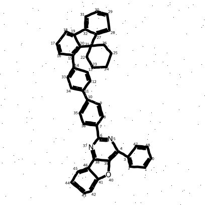 c1ccc(-c2nc(-c3ccc(-c4ccc(-c5cccc6c5C5(CCCCC5)c5ccccc5-6)cc4)cc3)nc3c2oc2ccccc23)cc1